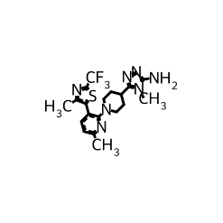 Cc1ccc(-c2sc(C(F)(F)F)nc2C)c(N2CCC(c3nnc(N)n3C)CC2)n1